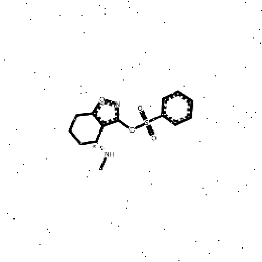 CN[C@@H]1CCCc2onc(OS(=O)(=O)c3ccccc3)c21